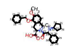 COc1ccc2c(c1OCc1ccccc1)C[C@H](C(=O)O)N(C(=O)[C@@H](c1ccccc1)N(C)C1CCCC1)C2